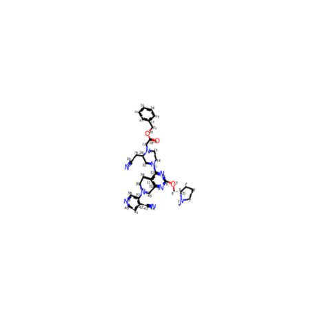 CN1CCC[C@H]1COc1nc2c(c(N3CCN(CC(=O)OCc4ccccc4)C(CC#N)C3)n1)CCN(c1cnccc1C#N)C2